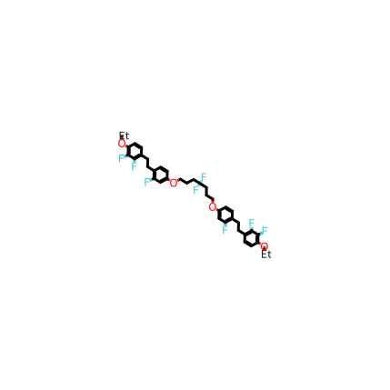 CCOc1ccc(CCc2ccc(OCCCC(F)(F)CCCOc3ccc(CCc4ccc(OCC)c(F)c4F)c(F)c3)cc2F)c(F)c1F